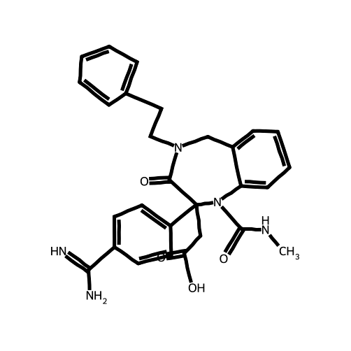 CNC(=O)N1c2ccccc2CN(CCc2ccccc2)C(=O)C1(CC(=O)O)c1ccc(C(=N)N)cc1